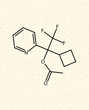 CC(=O)OC(c1ccccn1)(C1CCC1)C(F)(F)F